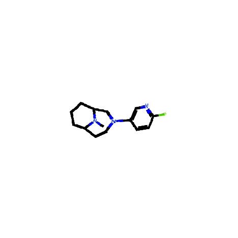 CN1C2CCCC1CN(c1ccc(F)nc1)CC2